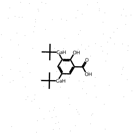 C[C](C)(C)[GaH][c]1c[c]([GaH][C](C)(C)C)c(O)c(C(=O)O)c1